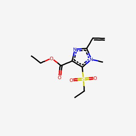 C=Cc1nc(C(=O)OCC)c(S(=O)(=O)CC)n1C